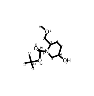 COCC1CCC(O)CN1C(=O)OC(C)(C)C